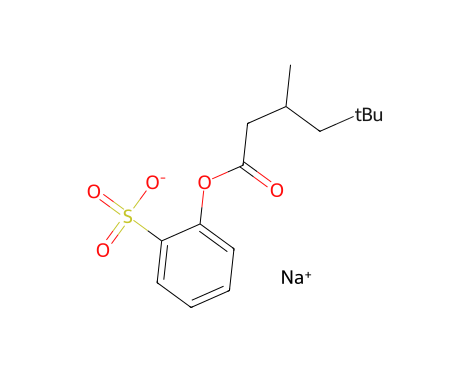 CC(CC(=O)Oc1ccccc1S(=O)(=O)[O-])CC(C)(C)C.[Na+]